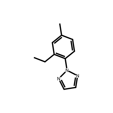 CCc1cc(C)ccc1-n1nccn1